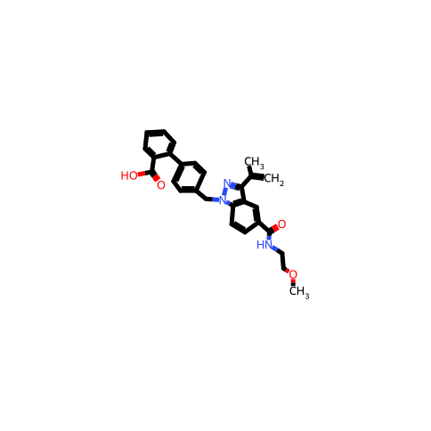 C=C(C)c1nn(Cc2ccc(-c3ccccc3C(=O)O)cc2)c2ccc(C(=O)NCCOC)cc12